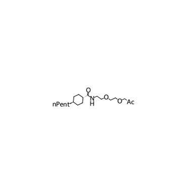 CCCCC[C@H]1CC[C@H](C(=O)NCCOCCOCC(C)=O)CC1